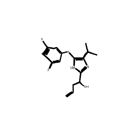 C=CCC(O)c1nc(C(C)C)c(Sc2cc(F)cc(F)c2)[nH]1